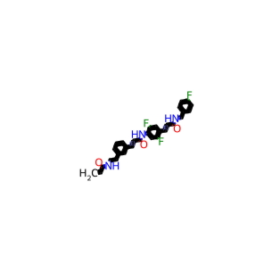 C=CC(=O)NCCc1cccc(/C=C/C(=O)Nc2cc(F)c(/C=C/C(=O)NCc3ccc(F)cc3)cc2F)c1